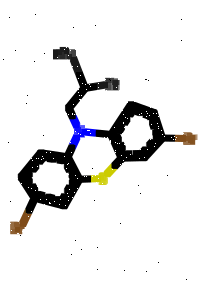 CCCCC(CC)CN1c2ccc(Br)cc2Sc2cc(Br)ccc21